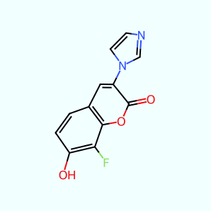 O=c1oc2c(F)c(O)ccc2cc1-n1ccnc1